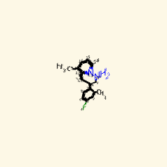 Cc1cc(F)ccc1[C@H](CN)Cc1ncccc1C